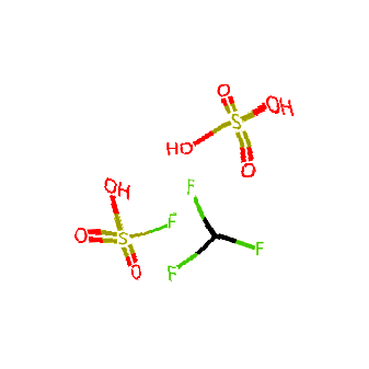 FC(F)F.O=S(=O)(O)F.O=S(=O)(O)O